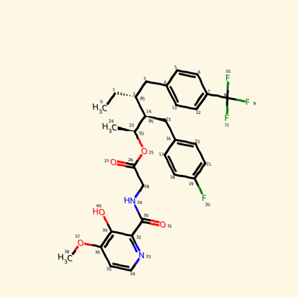 CC[C@H](Cc1ccc(C(F)(F)F)cc1)[C@@H](Cc1ccc(F)cc1)[C@H](C)OC(=O)CNC(=O)c1nccc(OC)c1O